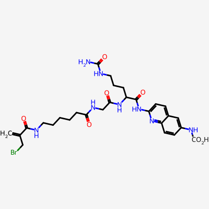 C=C(CBr)C(=O)NCCCCCC(=O)NCC(=O)NC(CCCNC(N)=O)C(=O)Nc1ccc2cc(NC(=O)O)ccc2n1